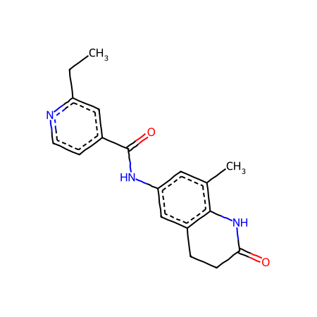 CCc1cc(C(=O)Nc2cc(C)c3c(c2)CCC(=O)N3)ccn1